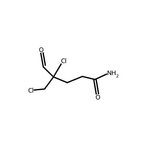 NC(=O)CCC(Cl)(C=O)CCl